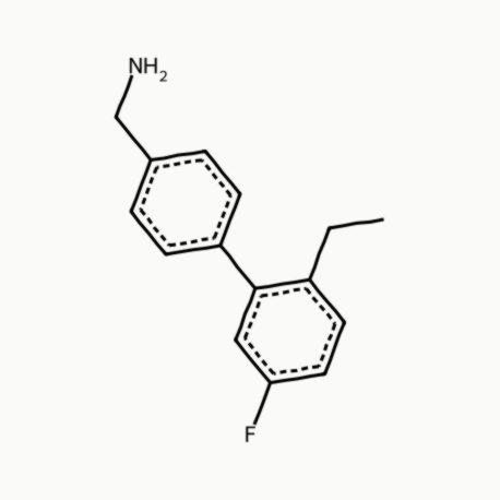 CCc1ccc(F)cc1-c1ccc(CN)cc1